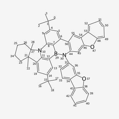 CC(C)(C)c1cc2c3c(c1)N1c4c(cc(C(C)(C)C)cc4C4(C)CCCCC14C)B3N(c1ccc3c(c1)oc1ccccc13)c1cc3oc4ccccc4c3cc1-2